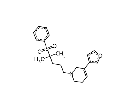 CC(C)(CCCN1CCC=C(c2ccoc2)C1)S(=O)(=O)c1ccccc1